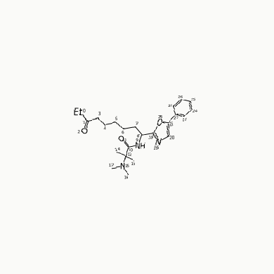 CCC(=O)CCCCCC(NC(=O)C(C)(C)N(C)C)c1ncc(-c2ccccc2)o1